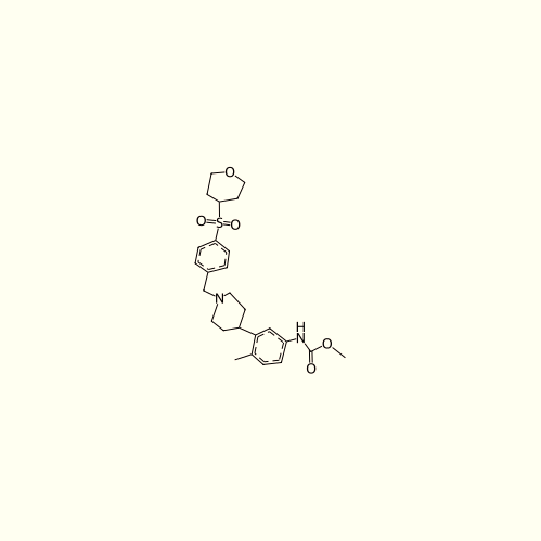 COC(=O)Nc1ccc(C)c(C2CCN(Cc3ccc(S(=O)(=O)C4CCOCC4)cc3)CC2)c1